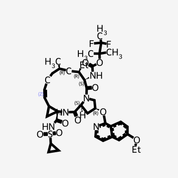 CCOc1ccc2c(O[C@@H]3C[C@H]4C(=O)N[C@]5(C(=O)NS(=O)(=O)C6CC6)CC5/C=C\CC[C@@H](C)C[C@@H](CC)[C@H](NC(=O)OC(C)(C)C(C)(F)F)C(=O)N4C3)nccc2c1